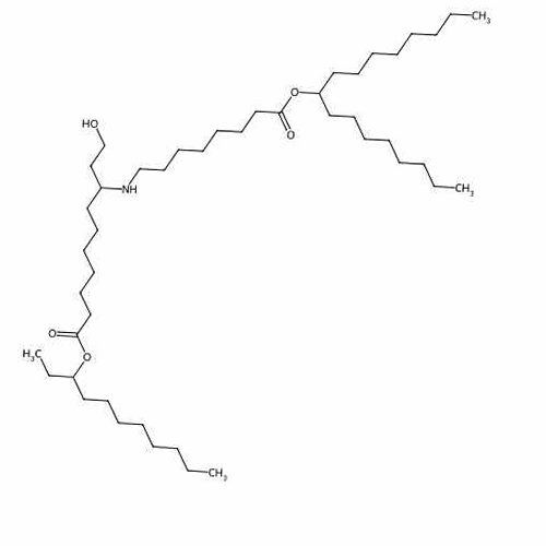 CCCCCCCCC(CC)OC(=O)CCCCCCC(CCO)NCCCCCCCC(=O)OC(CCCCCCCC)CCCCCCCC